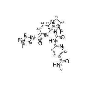 CNC(=O)c1ccc(NC(=O)N2c3nc(C(=O)NCC(F)(F)F)ccc3N3CC[C@H]2C3)nc1